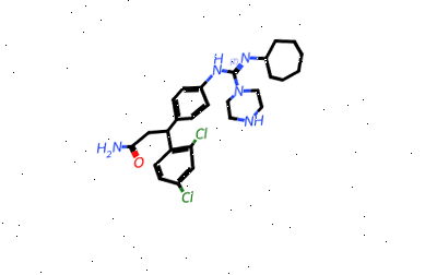 NC(=O)CC(c1ccc(N/C(=N/C2CCCCCC2)N2CCNCC2)cc1)c1ccc(Cl)cc1Cl